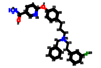 NC(=O)c1ccc(Oc2ccc(CCCN(CCc3cccc(F)c3)Cc3ccccc3)cc2)nc1